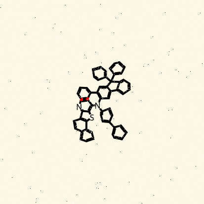 c1ccc(-c2ccc(N(c3cc4c(cc3-c3ccccc3)C(c3ccccc3)(c3ccccc3)c3ccccc3-4)c3ccnc4c3sc3c5ccccc5ccc43)cc2)cc1